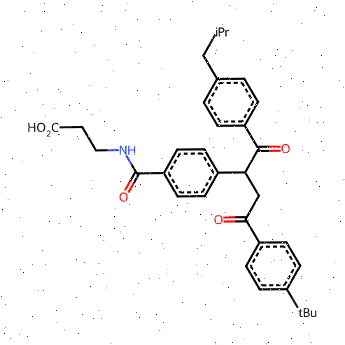 CC(C)Cc1ccc(C(=O)C(CC(=O)c2ccc(C(C)(C)C)cc2)c2ccc(C(=O)NCCC(=O)O)cc2)cc1